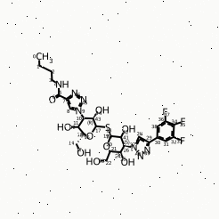 CCCCNC(=O)c1cn(C2C(O)[C@@H](CO)OC(S[C@@H]3OC(CO)[C@H](O)[C@H](n4cc(-c5cc(F)c(F)c(F)c5)nn4)C3O)[C@@H]2O)nn1